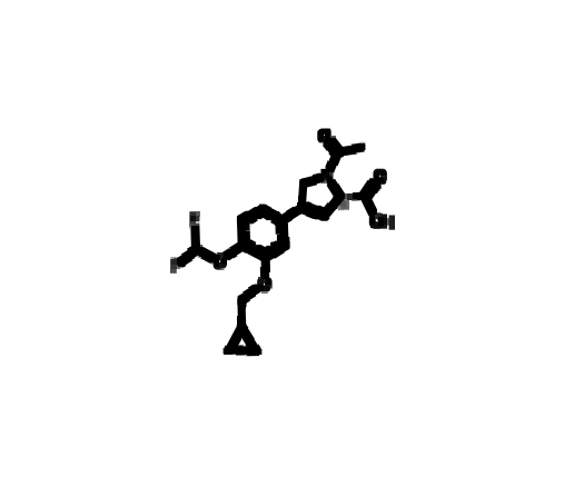 CC(=O)N1CC(c2ccc(OC(F)F)c(OCC3CC3)c2)=C[C@H]1C(=O)O